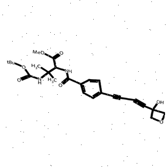 COC(=O)C(NC(=O)c1ccc(C#CC#CC2(O)COC2)cc1)C(C)(C)NC(=O)OC(C)(C)C